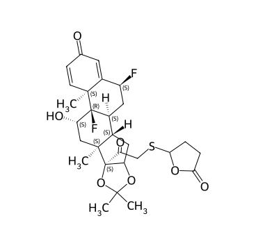 CC1(C)OC2C[C@H]3[C@@H]4C[C@H](F)C5=CC(=O)C=C[C@]5(C)[C@@]4(F)[C@@H](O)C[C@]3(C)[C@]2(C(=O)CSC2CCC(=O)O2)O1